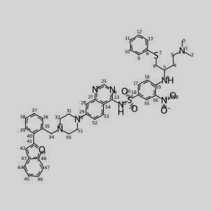 CN(C)CCC(CSc1ccccc1)Nc1ccc(S(=O)(=O)Nc2ncnc3cc(N4CCN(Cc5ccccc5-c5cc6ccccc6o5)CC4)ccc23)cc1[N+](=O)[O-]